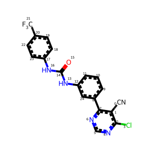 N#Cc1c(Cl)ncnc1-c1cccc(NC(=O)Nc2ccc(C(F)(F)F)cc2)c1